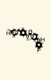 C[C@H]1CN(Cc2ccc(N(C)C(=O)N3CCC(Nc4ccc(F)cc4)CC3)cc2)CCN1